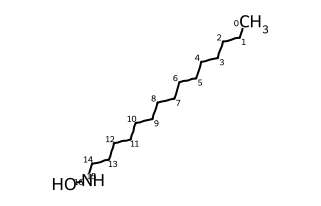 CCCCCCCCCCCCCCCNO